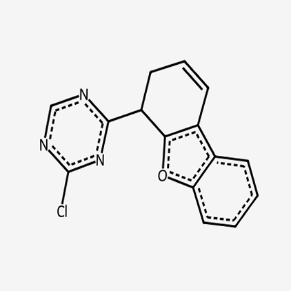 Clc1ncnc(C2CC=Cc3c2oc2ccccc32)n1